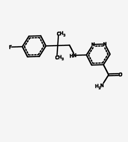 CC(C)(CNc1cc(C(N)=O)cnn1)c1ccc(F)cc1